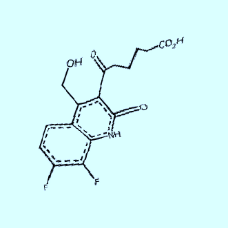 O=C(O)CCC(=O)c1c(CO)c2ccc(F)c(F)c2[nH]c1=O